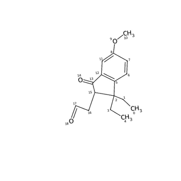 CCC1(CC)c2ccc(OC)cc2C(=O)C1CC=O